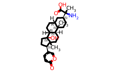 CC(N)(C(=O)O)[C@H]1CC[C@@]2(C)[C@H](CC[C@@H]3[C@@H]2CCC2(C)[C@@H](c4ccc(=O)oc4)CC[C@]32O)C1